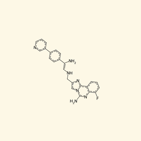 N/C(=C\NCc1cn2c(N)nc3c(F)cccc3c2n1)c1ccc(-c2cccnc2)cc1